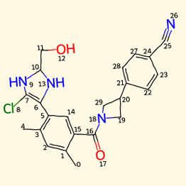 Cc1cc(C)c(C2=C(Cl)NC(CO)N2)cc1C(=O)N1CC(c2ccc(C#N)cc2)C1